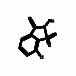 CC(C)(C)N1C(=O)c2cccc(Cl)c2S1(=O)=O